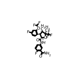 C[C@H]1[C@H](c2ccc(F)cc2OC(F)F)[C@@H](C(=O)Nc2ccc(F)c(C(N)=O)c2)O[C@@]1(C)C(F)(F)F